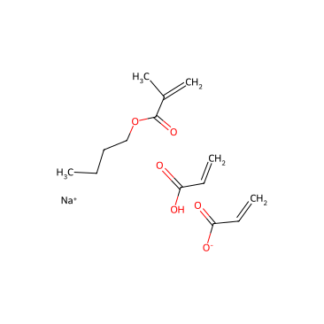 C=C(C)C(=O)OCCCC.C=CC(=O)O.C=CC(=O)[O-].[Na+]